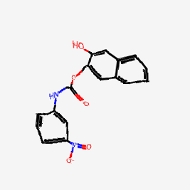 O=C(Nc1cccc([N+](=O)[O-])c1)Oc1cc2ccccc2cc1O